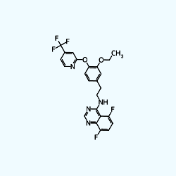 CCOc1cc(CCNc2ncnc3c(F)ccc(F)c23)ccc1Oc1cc(C(F)(F)F)ccn1